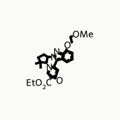 CCOC(=O)c1cn2c(cc1=O)-c1c3cccc(OCCOC)c3nn1C1CCC(C)(C)C12